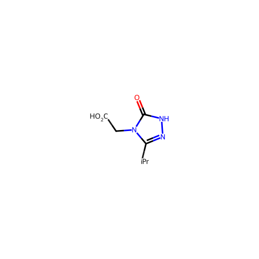 CC(C)c1n[nH]c(=O)n1CC(=O)O